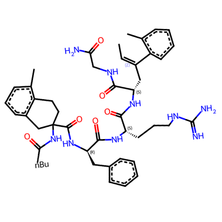 C/C=C(/C[C@H](NC(=O)[C@H](CCCNC(=N)N)NC(=O)[C@@H](Cc1ccccc1)NC(=O)C1(NC(=O)CCCC)CCc2c(C)cccc2C1)C(=O)NCC(N)=O)c1ccccc1C